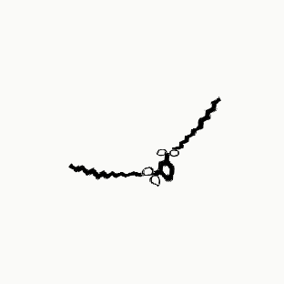 CCCCCCCCCCCCCCOC(=O)C1CCCC(C(=O)OCCCCCCCCCCCCCC)C1